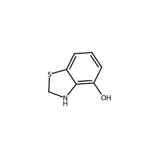 Oc1cccc2c1NCS2